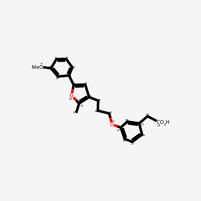 COc1cccc(-c2cc(CCCOc3cccc(CC(=O)O)c3)c(C)o2)c1